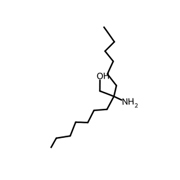 CCCCCCCC(N)(CO)CCCCCC